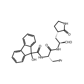 CC(C)C[C@H](NC(=O)C1(O)c2ccccc2-c2ccccc21)C(=O)N[C@H](C=O)C[C@@H]1CCNC1=O